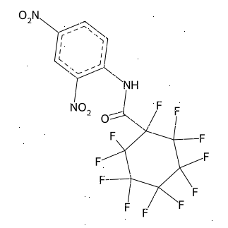 O=C(Nc1ccc([N+](=O)[O-])cc1[N+](=O)[O-])C1(F)C(F)(F)C(F)(F)C(F)(F)C(F)(F)C1(F)F